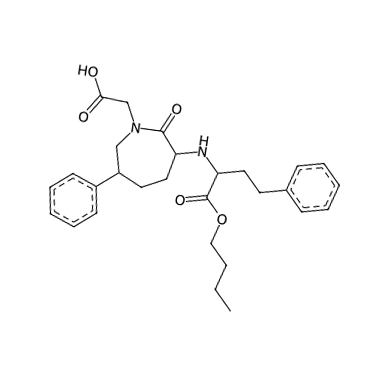 CCCCOC(=O)C(CCc1ccccc1)NC1CCC(c2ccccc2)CN(CC(=O)O)C1=O